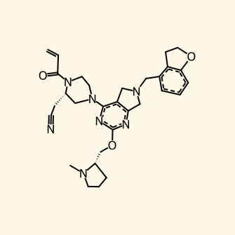 C=CC(=O)N1CCN(c2nc(OC[C@@H]3CCCN3C)nc3c2CN(Cc2cccc4c2CCO4)C3)C[C@@H]1CC#N